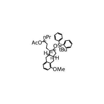 CCC[C@@H](CC[C@@H]1[C@@H]2Cc3cccc(OC)c3C[C@H]2C[C@@H]1O[Si](c1ccccc1)(c1ccccc1)C(C)(C)C)OC(C)=O